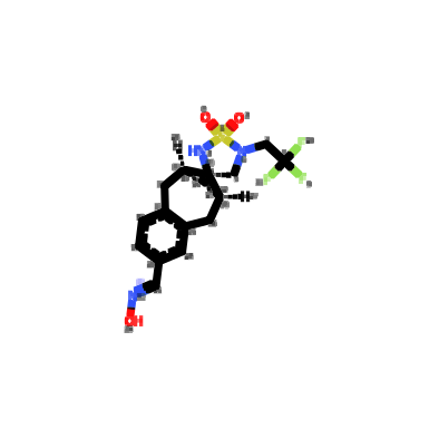 O=S1(=O)N[C@@]2(CN1CC(F)(F)F)[C@@H]1CC[C@H]2Cc2ccc(/C=N/O)cc2C1